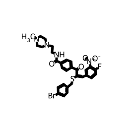 CN1CCN(CCNC(=O)c2ccc(C(=O)/C(=C\c3ccc(F)c([N+](=O)[O-])c3)SCc3ccc(Br)cc3)cc2)CC1